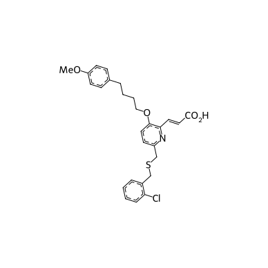 COc1ccc(CCCCOc2ccc(CSCc3ccccc3Cl)nc2C=CC(=O)O)cc1